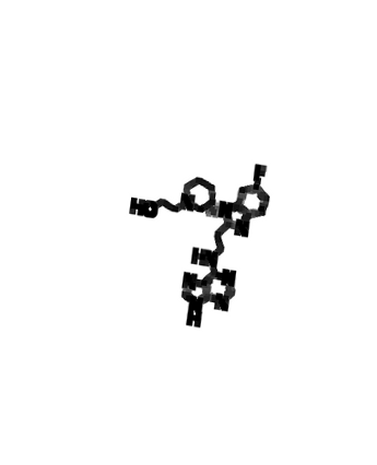 OCCN1CCC[C@H](n2c(CCNc3ncnc4[nH]cnc34)nc3ccc(F)cc32)C1